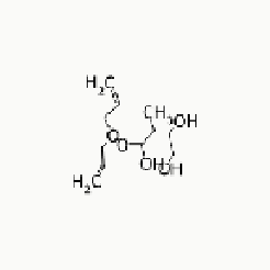 C=CCOCC=C.CCC(=O)O.OCCO